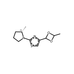 CC1OC(c2csc(N3CCC[C@@H]3C)n2)O1